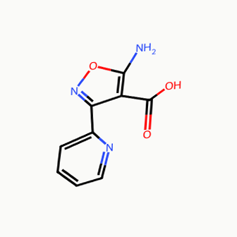 Nc1onc(-c2ccccn2)c1C(=O)O